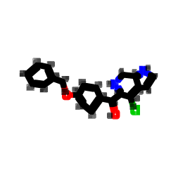 O=C(C1=NCC2=NC=CC2=C1Cl)c1ccc(OCc2ccccc2)cc1